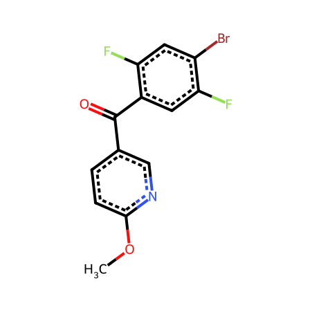 COc1ccc(C(=O)c2cc(F)c(Br)cc2F)cn1